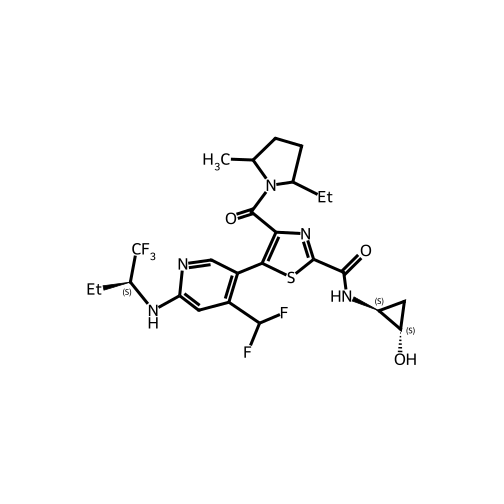 CCC1CCC(C)N1C(=O)c1nc(C(=O)N[C@H]2C[C@@H]2O)sc1-c1cnc(N[C@@H](CC)C(F)(F)F)cc1C(F)F